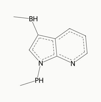 CBc1cn(PC)c2ncccc12